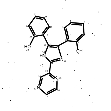 Oc1ccccc1-c1nc(-c2cnccn2)[nH]c1-c1ccccc1O